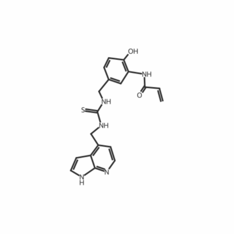 C=CC(=O)Nc1cc(CNC(=S)NCc2ccnc3[nH]ccc23)ccc1O